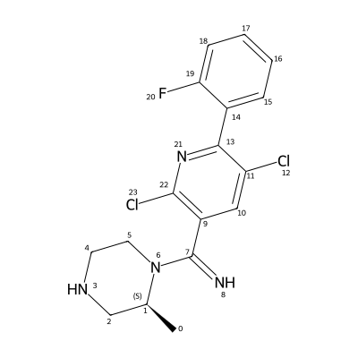 C[C@H]1CNCCN1C(=N)c1cc(Cl)c(-c2ccccc2F)nc1Cl